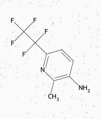 Cc1nc(C(F)(F)C(F)(F)F)ccc1N